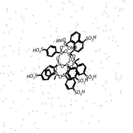 CO[Si](OC)(O[Si]1(c2ccc(S(=O)(=O)O)cc2)O[Si]2(c3ccccc3)O[Si](C)(c3ccc(S(=O)(=O)O)cc3)O[Si]3(c4ccc(S(=O)(=O)O)cc4)O[Si](C)(c4ccc(S(=O)(=O)O)cc4)O[Si](c4ccc(S(=O)(=O)O)cc4)(O1)O[Si](c1ccc(S(=O)(=O)O)cc1)(O3)O2)c1ccccc1